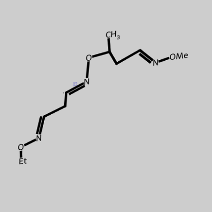 CCON=CC/[C]=N/OC(C)CC=NOC